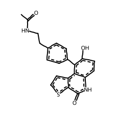 CC(=O)NCCc1ccc(-c2c(O)ccc3[nH]c(=O)c4sccc4c23)cc1